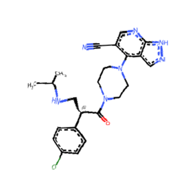 CC(C)NC[C@@H](C(=O)N1CCN(c2c(C#N)cnc3[nH]ncc23)CC1)c1ccc(Cl)cc1